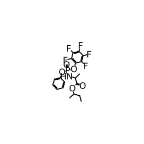 CCC(C)OC(=O)C(C)N[P@@](=O)(Oc1ccccc1)Oc1c(F)c(F)c(F)c(F)c1F